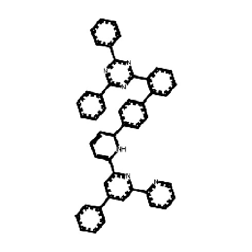 C1=CC(c2ccc(-c3ccccc3-c3nc(-c4ccccc4)nc(-c4ccccc4)n3)cc2)NC(c2cc(-c3ccccc3)cc(-c3ccccn3)n2)=C1